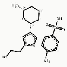 C[C@@H]1CNC[C@H](c2cnn(CCO)c2)O1.Cc1ccc(S(=O)(=O)O)cc1